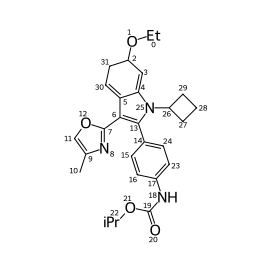 CCOC1C=c2c(c(-c3nc(C)co3)c(-c3ccc(NC(=O)OC(C)C)cc3)n2C2CCC2)=CC1